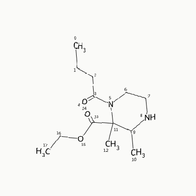 CCCC(=O)N1CCNC(C)C1(C)C(=O)OCC